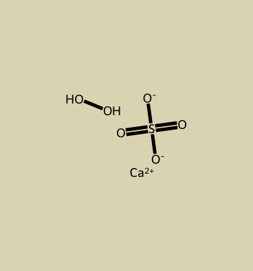 O=S(=O)([O-])[O-].OO.[Ca+2]